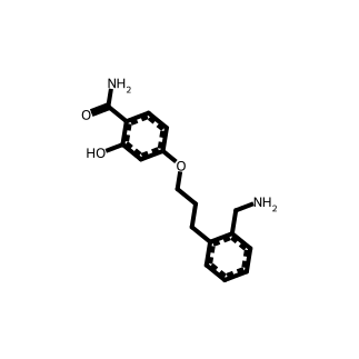 NCc1ccccc1CCCOc1ccc(C(N)=O)c(O)c1